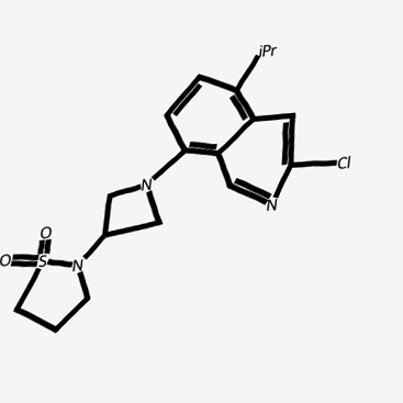 CC(C)c1ccc(N2CC(N3CCCS3(=O)=O)C2)c2cnc(Cl)cc12